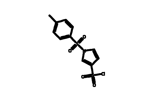 Cc1ccc(S(=O)(=O)n2ccc(S(=O)(=O)Cl)c2)cc1